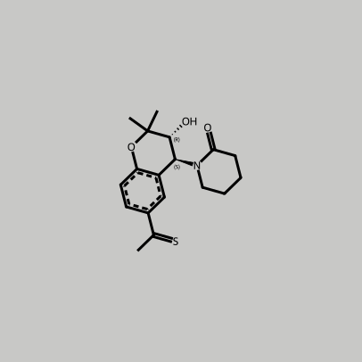 CC(=S)c1ccc2c(c1)[C@H](N1CCCCC1=O)[C@@H](O)C(C)(C)O2